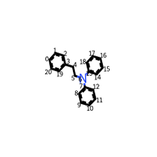 c1ccc(CCN(c2ccccc2)c2ccccc2)cc1